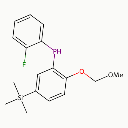 COCOc1ccc([Si](C)(C)C)cc1Pc1ccccc1F